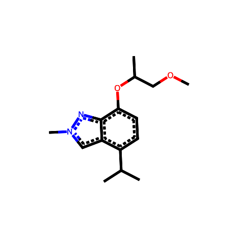 COCC(C)Oc1ccc(C(C)C)c2cn(C)nc12